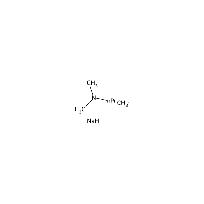 CCCN(C)C.[CH3].[NaH]